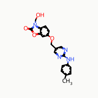 Cc1ccc(Nc2ncc(COc3ccc4c(c3)oc(=O)n4CO)cn2)cc1